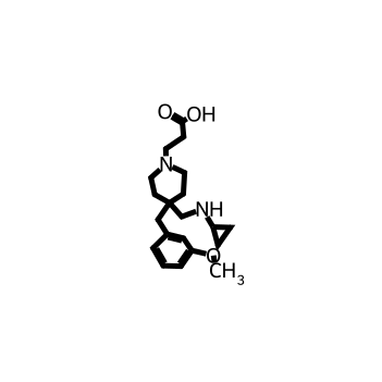 COc1cccc(CC2(CNC3CC3)CCN(CCC(=O)O)CC2)c1